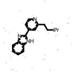 CC(C)CCc1cc(-c2nc3ccccc3[nH]2)ccn1